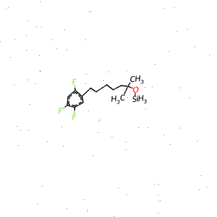 CC(C)(CCCCCc1cc(F)c(F)cc1F)O[SiH3]